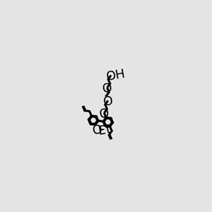 C=CCc1ccc(OCC)c(-c2cc(CC=C)ccc2OCCOCCOCCO)c1